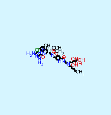 CCCCCCN(CCNC(=O)c1ccc(CN(CC[C@@H](CNC(=O)c2nc(Cl)c(N)nc2N)Cc2ccccc2C)C(=O)OC(C)(C)C)cc1)C[C@H](O)[C@@H](O)[C@H](O)CO